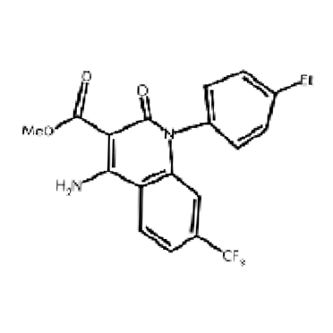 CCc1ccc(-n2c(=O)c(C(=O)OC)c(N)c3ccc(C(F)(F)F)cc32)cc1